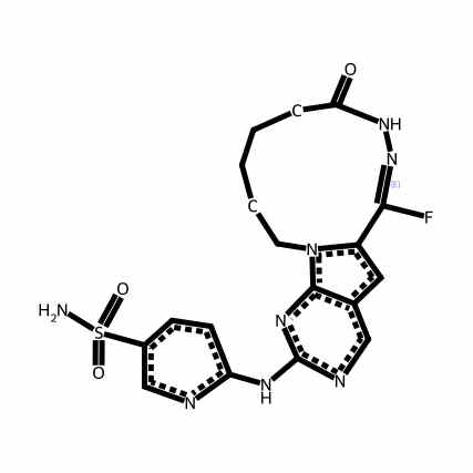 NS(=O)(=O)c1ccc(Nc2ncc3cc4n(c3n2)CCCCCC(=O)N/N=C\4F)nc1